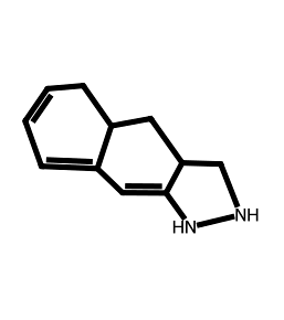 C1=CCC2CC3CNNC3=CC2=C1